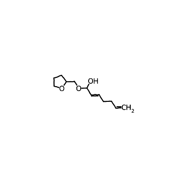 C=CCC/C=C/C(O)OCC1CCCO1